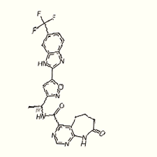 C[C@H](NC(=O)c1ncnc2c1CCCC(=O)N2)c1cc(-c2nc3ccc(C(F)(F)F)cc3[nH]2)on1